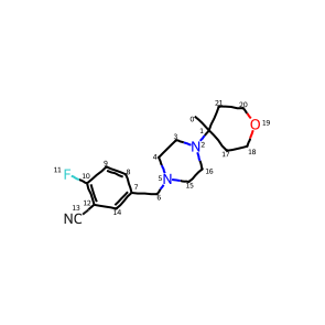 CC1(N2CCN(Cc3ccc(F)c(C#N)c3)CC2)CCOCC1